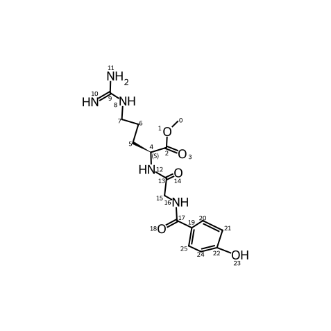 COC(=O)[C@H](CCCNC(=N)N)NC(=O)CNC(=O)c1ccc(O)cc1